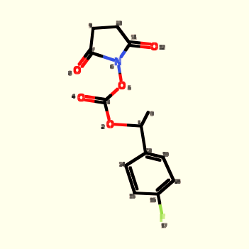 CC(OC(=O)ON1C(=O)CCC1=O)c1ccc(F)cc1